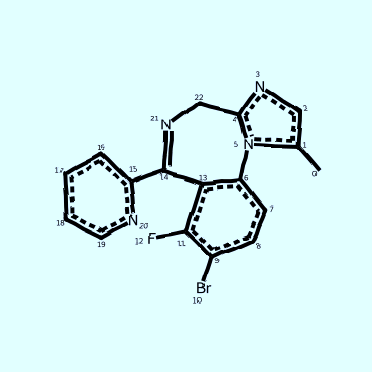 Cc1cnc2n1-c1ccc(Br)c(F)c1C(c1ccccn1)=NC2